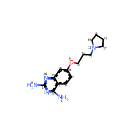 Nc1nc(N)c2ccc(OCCCN3CCCC3)cc2n1